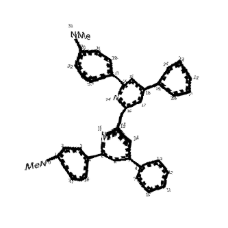 CNc1ccc(-c2cc(-c3ccccc3)cc(-c3cc(-c4ccccc4)cc(-c4ccc(NC)cc4)n3)n2)cc1